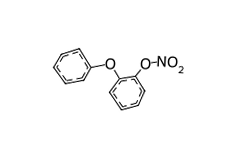 O=[N+]([O-])Oc1ccccc1Oc1ccccc1